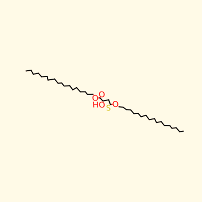 CCCCCCCCCCCCCCCCCCOC(=O)C(O)CC(=S)OCCCCCCCCCCCCCCCCCC